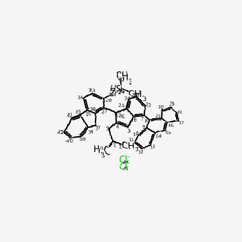 CC(C)CC1=Cc2c(-c3c4ccccc4cc4ccccc34)cccc2C1c1[c]([Zr+2][SiH](C)C)ccc2c1Cc1ccccc1-2.[Cl-].[Cl-]